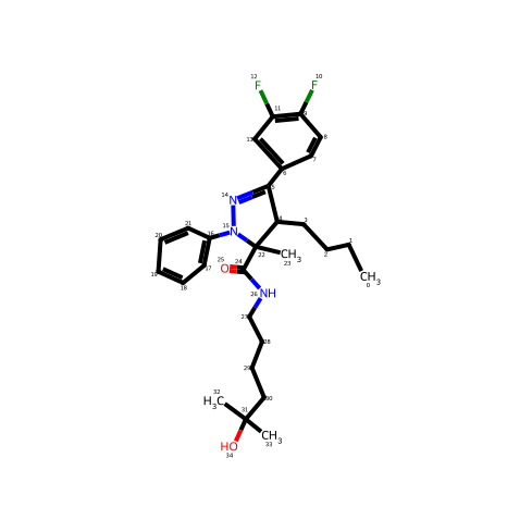 CCCCC1C(c2ccc(F)c(F)c2)=NN(c2ccccc2)C1(C)C(=O)NCCCCC(C)(C)O